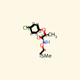 CSCCONC(=O)[C@H](C)Oc1ccc(Cl)cc1